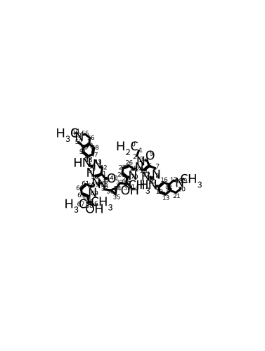 C=CCn1c(=O)c2cnc(Nc3ccc4c(c3)CN(C)CC4)nc2n1-c1cccc(C(C)(O)CC2CC2Cn2c(=O)c3cnc(Nc4ccc5c(c4)CN(C)CC5)nc3n2-c2cccc(C(C)(C)O)n2)n1